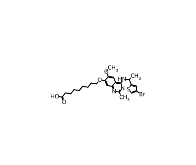 COc1cc2c(NC(C)c3cc(Br)cs3)nc(C)nc2cc1OCCCCCCCCC(=O)O